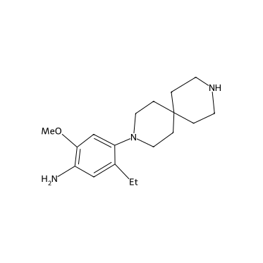 CCc1cc(N)c(OC)cc1N1CCC2(CCNCC2)CC1